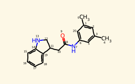 Cc1cc(C)cc(NC(=O)CC2CNc3ccccc32)c1